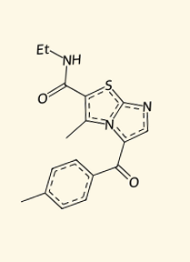 CCNC(=O)c1sc2ncc(C(=O)c3ccc(C)cc3)n2c1C